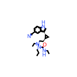 CCCN(C(=O)NCC)N(CC)CC[C@@H]1C[C@H]1c1c[nH]c2ccc(C#N)cc12